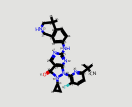 CC(C)(C#N)c1ccc(F)c(-n2c3nc(Nc4ccc5c(c4)CNCC5(C)C)ncc3c(=O)n2C2CC2)n1